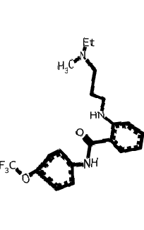 CCN(C)CCCNc1ccccc1C(=O)Nc1ccc(OC(F)(F)F)cc1